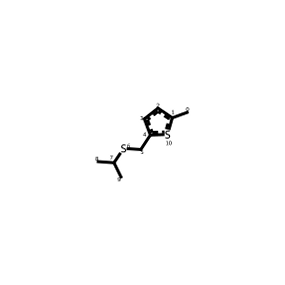 Cc1ccc(CSC(C)C)s1